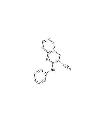 N#Cc1cc2ccccc2nc1Nc1ccccc1